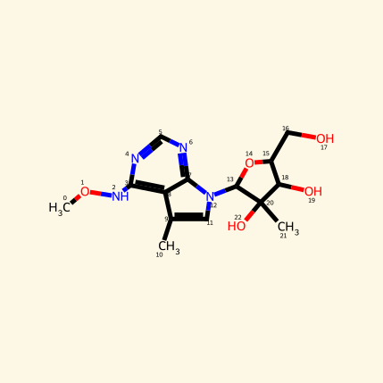 CONc1ncnc2c1c(C)cn2C1OC(CO)C(O)C1(C)O